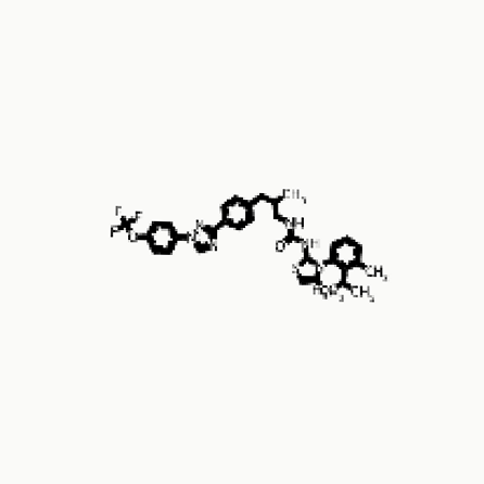 CC1=CSC(NC(=O)NCC(C)Cc2ccc(-c3ncn(-c4ccc(OC(F)(F)F)cc4)n3)cc2)N1c1cccc(C)c1C(C)C